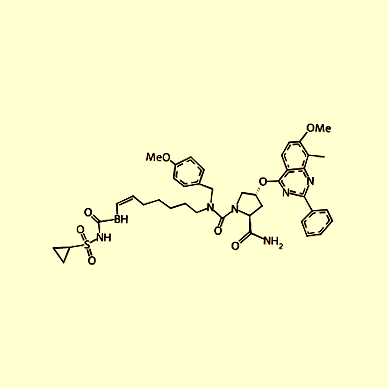 COc1ccc(CN(CCCCC/C=C\BC(=O)NS(=O)(=O)C2CC2)C(=O)N2C[C@H](Oc3nc(-c4ccccc4)nc4c(C)c(OC)ccc34)C[C@H]2C(N)=O)cc1